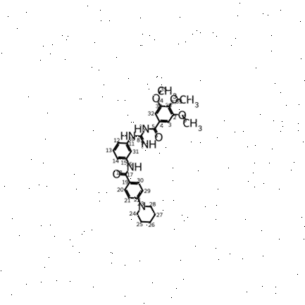 COc1cc(C(=O)NC(=N)Nc2cccc(NC(=O)c3ccc(N4CCCCC4)cc3)c2)cc(OC)c1OC